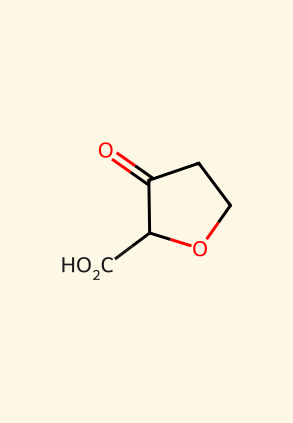 O=C(O)C1OCCC1=O